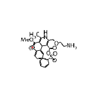 COC(=O)C1=C(C)NC(COCCN)=C(C(=O)OS(=O)(=O)c2ccccc2)C1c1ccccc1Cl